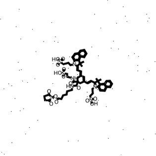 CC1(C)C(/C=C/C2=CC(=C/C=C3/N(CCCS(=O)(=O)O)c4ccc5ccccc5c4C3(C)C)/CC(C(=O)NCCCCCC(=O)ON3C(=O)CCC3=O)(C(=O)NCCS(=O)(=O)O)C2)=[N+](CCCS(=O)(=O)O)c2ccc3ccccc3c21